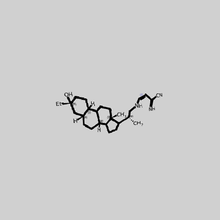 CC[C@@]1(O)CC[C@@H]2C3CC[C@@]4(C)C(CCC4[C@@H](C)CN/C=C\C(=N)C#N)[C@@H]3CC[C@@H]2C1